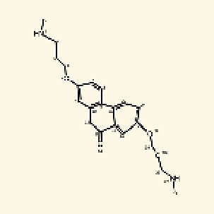 CNCCCOc1ccc2c(c1)CC(=O)c1cc(OCCCNC)ccc1-2